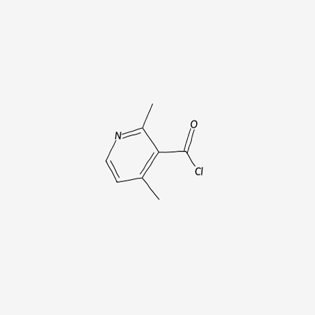 Cc1ccnc(C)c1C(=O)Cl